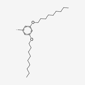 [CH2]c1cc(OCCCCCCCCC)cc(OCCCCCCCCC)c1